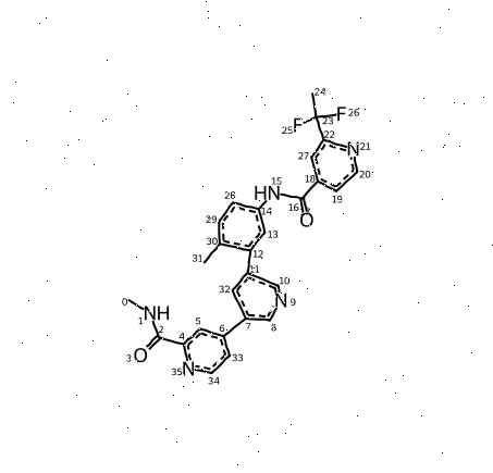 CNC(=O)c1cc(-c2cncc(-c3cc(NC(=O)c4ccnc(C(C)(F)F)c4)ccc3C)c2)ccn1